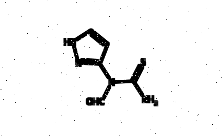 NC(=S)N(C=O)c1cc[nH]n1